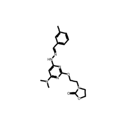 Cc1cccc(/C=N/Nc2cc(N(C)C)nc(OCCN3CCOC3=O)n2)c1